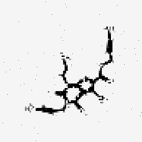 CC#CCOC(=O)c1sc2c(c1C)c(=O)n(CC#CC)c(=O)n2CCOC